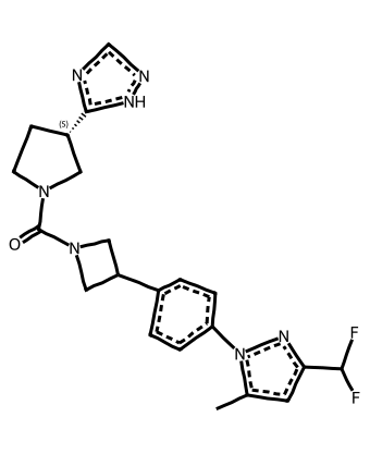 Cc1cc(C(F)F)nn1-c1ccc(C2CN(C(=O)N3CC[C@H](c4ncn[nH]4)C3)C2)cc1